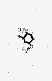 O=[N+]([O-])c1ccc(OC(F)(F)F)cc1I